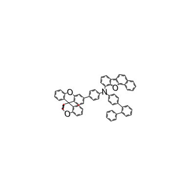 c1ccc(-c2ccccc2-c2ccc(N(c3ccc(-c4ccc5c(c4)Oc4ccccc4C54c5ccccc5Oc5ccccc54)cc3)c3cccc4c3oc3c5ccccc5ccc43)cc2)cc1